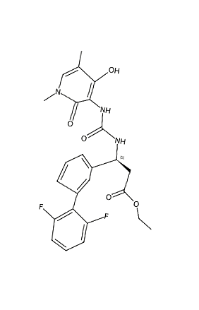 CCOC(=O)C[C@H](NC(=O)Nc1c(O)c(C)cn(C)c1=O)c1cccc(-c2c(F)cccc2F)c1